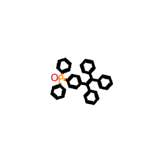 O=P(c1ccccc1)(c1ccccc1)c1ccc(C(=C(c2ccccc2)c2ccccc2)c2ccccc2)cc1